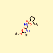 CC(C)[C@H](NC(=O)CNS(=O)(=O)c1ccccc1[N+](=O)[O-])C(=O)OC(C)(C)C